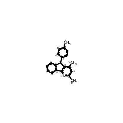 Cc1ccc(C2c3ccccc3-c3nc(C)cc(C(F)(F)F)c32)cc1